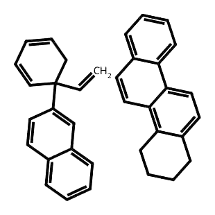 C=CC1(c2ccc3ccccc3c2)C=CC=CC1.c1ccc2c(c1)ccc1c3c(ccc12)CCCC3